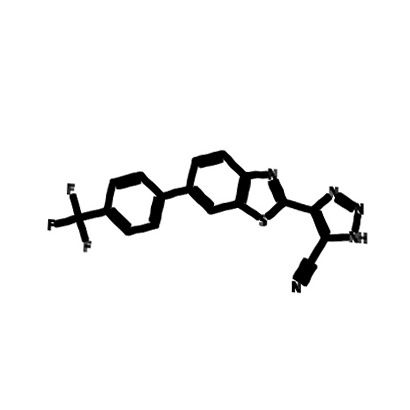 N#Cc1[nH]nnc1-c1nc2ccc(-c3ccc(C(F)(F)F)cc3)cc2s1